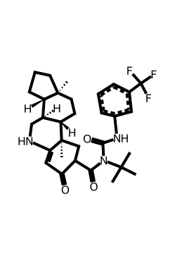 CC(C)(C)N(C(=O)Nc1cccc(C(F)(F)F)c1)C(=O)C1C[C@@]2(C)C(=CC1=O)NC[C@H]1[C@@H]3CCC[C@@]3(C)CC[C@@H]12